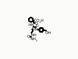 NC(=O)NCCC[C@H](NC(=O)C1(C(=O)O)CCCCC1)C(=O)Nc1ccc(CO)cc1